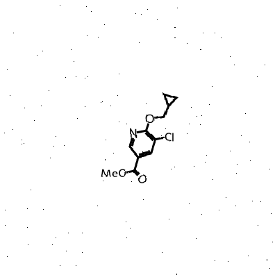 COC(=O)c1cnc(OCC2CC2)c(Cl)c1